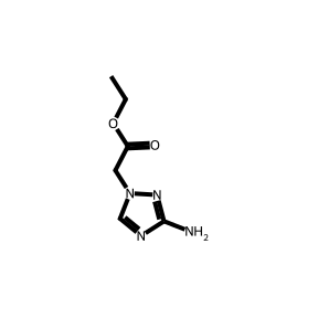 CCOC(=O)Cn1cnc(N)n1